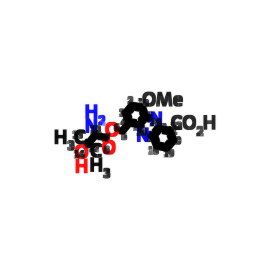 COc1ccc(COC(=O)[C@@H](N)C(C)(C)O)c2nc3cccc(C(=O)O)c3nc12